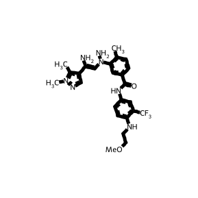 COCCNc1ccc(NC(=O)c2ccc(C)c(N(N)/C=C(\N)c3cnn(C)c3C)c2)cc1C(F)(F)F